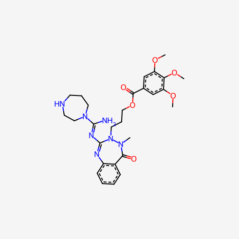 COc1cc(C(=O)OCCCN2C(N=C(N)N3CCCNCC3)=Nc3ccccc3C(=O)N2C)cc(OC)c1OC